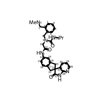 CNCc1ccccc1CN(CC(=O)Nc1ccc2c(c1)CC1(C2)C(=O)Nc2ncccc21)C(=O)NC(C)C